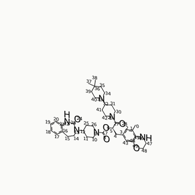 Cc1cc(C[C@@H](OC(=O)N2CCC(N3CCc4ccccc4NC3=O)CC2)C(=O)N2CCC(N3CCC(C)(C)CC3)CC2)cc2c1NCCO2